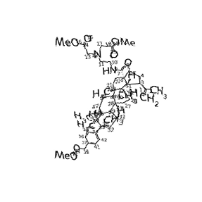 C=C(C)[C@@H]1CC[C@]2(C(=O)NCCN(CC(=O)OC)CC(=O)OC)CC[C@]3(C)[C@H](CC[C@@H]4[C@@]5(C)CC=C(c6ccc(COOC)cc6)C(C)(C)[C@@H]5CC[C@]43C)[C@@H]12